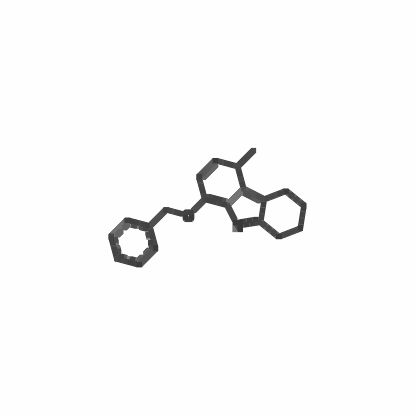 CC1C=CC(OCc2ccccc2)=C2N=C3CCCCC3=C21